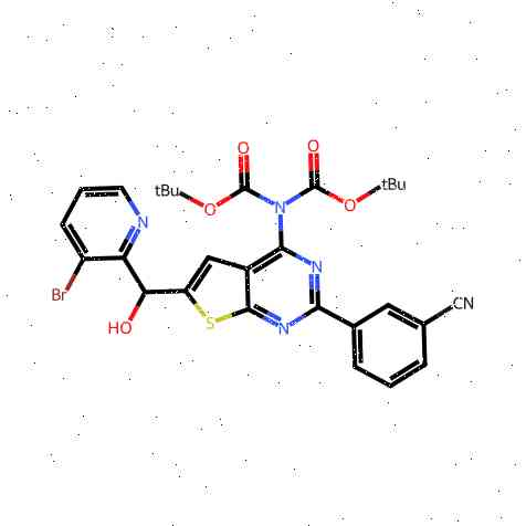 CC(C)(C)OC(=O)N(C(=O)OC(C)(C)C)c1nc(-c2cccc(C#N)c2)nc2sc(C(O)c3ncccc3Br)cc12